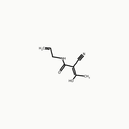 C=CCNC(=O)/C(C#N)=C(/C)O